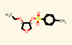 CCO[C@@H]1COC[C@@H]1OS(=O)(=O)c1ccc(C)cc1